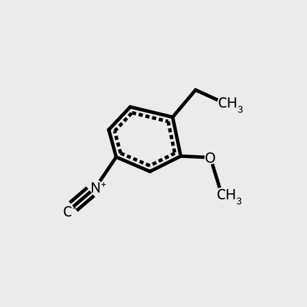 [C-]#[N+]c1ccc(CC)c(OC)c1